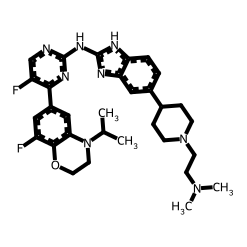 CC(C)N1CCOc2c(F)cc(-c3nc(Nc4nc5cc(C6CCN(CCN(C)C)CC6)ccc5[nH]4)ncc3F)cc21